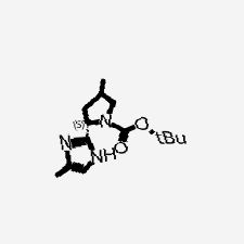 Cc1c[nH]c([C@@H]2CC(C)CN2C(=O)OC(C)(C)C)n1